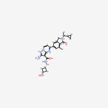 Cc1cc(-c2ccn3nc(N)c(C(=O)NC[C@H]4C[C@H](O)C4)c3n2)cc2c1C(=O)N(C(C)C1CC1)C2